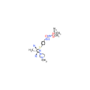 CCc1c(C#N)c(SCc2ccc(CNC(=O)CNC(=O)OC(C)(C)C)cc2)nc(N2CCCN(C)CC2)c1C#N